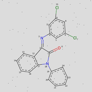 O=C1/C(=N\c2cc(Cl)cc(Cl)c2)c2ccccc2N1c1ccccc1